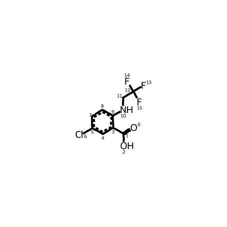 O=C(O)c1cc(Cl)ccc1NCC(F)(F)F